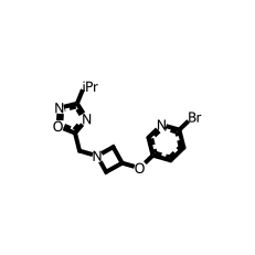 CC(C)c1noc(CN2CC(Oc3ccc(Br)nc3)C2)n1